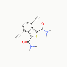 C#Cc1ccc(C#C)c2c(C(=O)N(C)C)sc(C(=O)N(C)C)c12